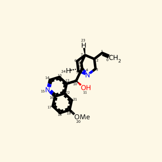 C=CC1CN2CC[C@H]1C[C@@H]2[C@@H](O)c1ccnc2ccc(OC)cc12